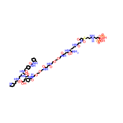 Cc1ccccc1NC(=O)Nc1ccc(CC(=O)N[C@@H](CCCCNC(=O)/C=C/c2cccnc2)C(=O)N[C@@H](CCCC(=O)O)C(=O)NC2(C(=O)NCCOCCOCCNC(=O)CCC(=O)NCCOCCOCCNC(=O)CCC(=O)N[C@@H](CCCCNC(=O)CCN3C(=O)CC(SCCCC(=N)NCCCC(O)(O[PH](=O)O)O[PH](=O)O)C3=O)C(N)=O)CCCCC2)cc1